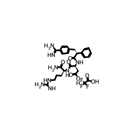 N=C(N)NCCC[C@H](NC(=O)[C@H](CC(=O)O)NC(=O)[C@H](Cc1ccc(C(=N)N)cc1)c1ccccc1)C(N)=O.O=C(O)C(F)(F)F